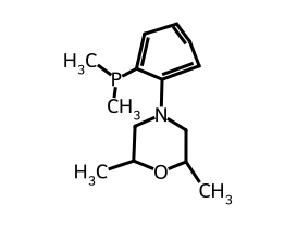 CC1CN(c2ccccc2P(C)C)CC(C)O1